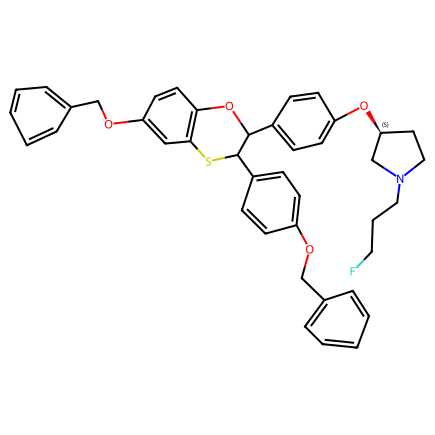 FCCCN1CC[C@H](Oc2ccc(C3Oc4ccc(OCc5ccccc5)cc4SC3c3ccc(OCc4ccccc4)cc3)cc2)C1